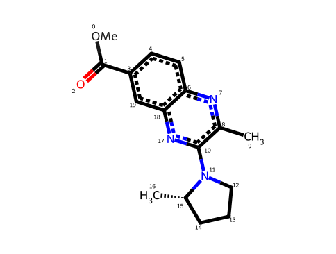 COC(=O)c1ccc2nc(C)c(N3CCC[C@@H]3C)nc2c1